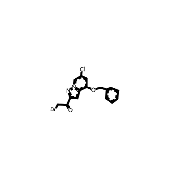 O=C(CBr)c1cc2c(OCc3ccccc3)cc(Cl)cn2n1